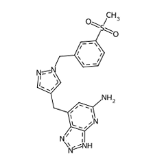 CS(=O)(=O)c1cccc(Cn2cc(Cc3cc(N)nc4[nH]nnc34)cn2)c1